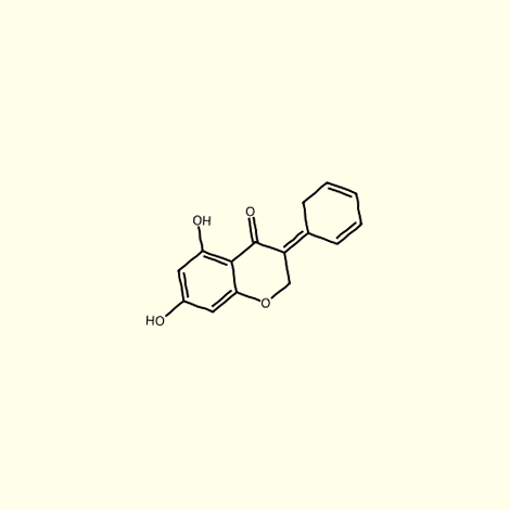 O=C1C(=C2C=CC=CC2)COc2cc(O)cc(O)c21